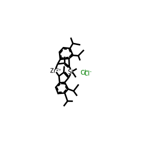 CC1=C2c3c(ccc(C(C)C)c3C(C)C)[CH]1[Zr+2][CH]1C(C)=C(c3c1ccc(C(C)C)c3C(C)C)[Si]2(C)C.[Cl-].[Cl-]